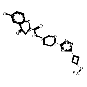 O=C1C[C@H](C(=O)N[C@@H]2CC[C@@H](c3nnc([C@H]4C[C@@H](OC(F)(F)F)C4)o3)OC2)Oc2ccc(Cl)cc21